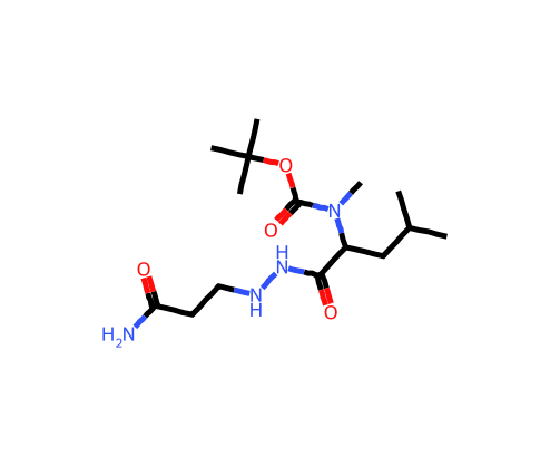 CC(C)CC(C(=O)NNCCC(N)=O)N(C)C(=O)OC(C)(C)C